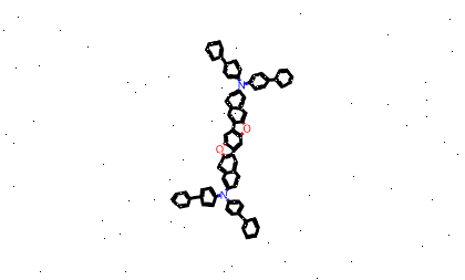 c1ccc(-c2ccc(N(c3ccc(-c4ccccc4)cc3)c3ccc4cc5c(cc4c3)oc3cc4c(cc35)oc3cc5cc(N(c6ccc(-c7ccccc7)cc6)c6ccc(-c7ccccc7)cc6)ccc5cc34)cc2)cc1